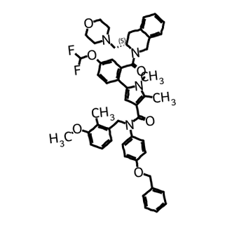 COc1cccc(CN(C(=O)c2cc(-c3ccc(OC(F)F)cc3C(=O)N3Cc4ccccc4C[C@H]3CN3CCOCC3)n(C)c2C)c2ccc(OCc3ccccc3)cc2)c1C